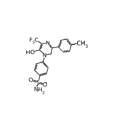 Cc1ccc(C2=NC(C(F)(F)F)=C(O)N(c3ccc(S(N)(=O)=O)cc3)C2)cc1